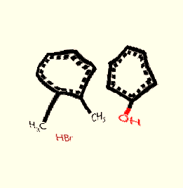 Br.Cc1ccccc1C.Oc1ccccc1